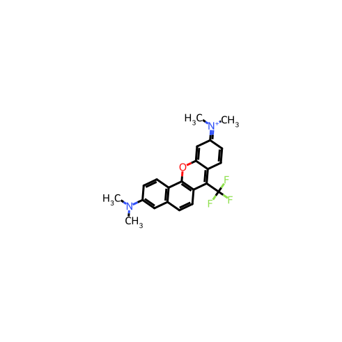 CN(C)c1ccc2c(ccc3c(C(F)(F)F)c4ccc(=[N+](C)C)cc-4oc32)c1